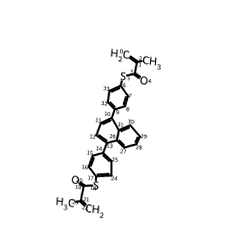 C=C(C)C(=O)Sc1ccc(-c2ccc(-c3ccc(SC(=O)C(=C)C)cc3)c3ccccc23)cc1